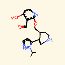 CC(C)n1nccc1C1CNCCC1COc1nccc(O)c1C=O